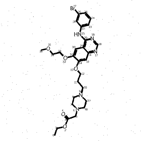 CCOC(=O)CN1CCN(CCCOc2cc3ncnc(Nc4cccc(Br)c4)c3cc2OCCOC)CC1